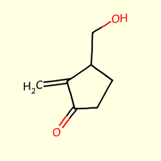 C=C1C(=O)CCC1CO